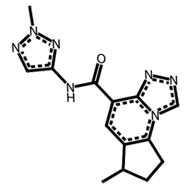 CC1CCc2c1cc(C(=O)Nc1cnn(C)n1)c1nncn21